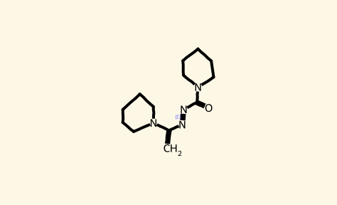 C=C(/N=N/C(=O)N1CCCCC1)N1CCCCC1